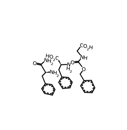 NC(=O)[C@@H](N)Cc1ccccc1.N[C@@H](Cc1ccccc1)C(=O)O.O=C(O)CNC(=O)OCc1ccccc1